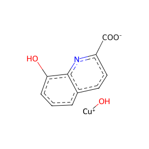 O=C([O-])c1ccc2cccc(O)c2n1.[OH][Cu+]